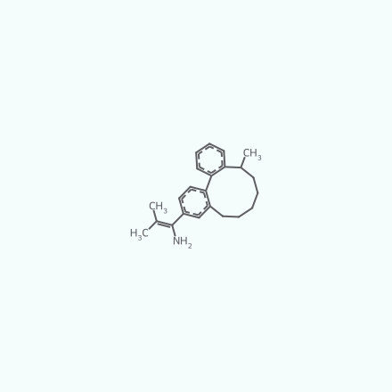 CC(C)=C(N)c1ccc2c(c1)CCCCCC(C)c1ccccc1-2